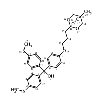 CSc1ccc(C(O)(c2ccc(OCCCC34OCC(C)(CO3)CO4)cc2)c2ccc(SC)cc2)cc1